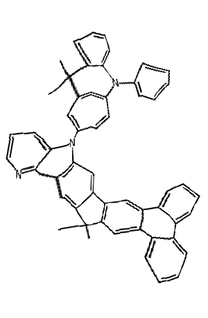 CC1(C)c2cc3c4ccccc4c4ccccc4c3cc2-c2cc3c(cc21)c1ncccc1n3-c1ccc2c(c1)C(C)(C)c1ccccc1N2c1ccccc1